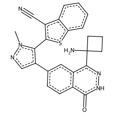 Cn1ncc(-c2ccc3c(=O)[nH]nc(C4(N)CCC4)c3c2)c1-c1sc2ccccc2c1C#N